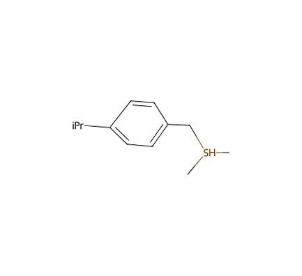 CC(C)c1ccc(C[SH](C)C)cc1